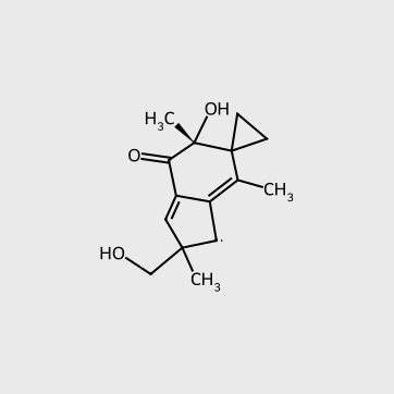 CC1=C2[CH]C(C)(CO)C=C2C(=O)[C@](C)(O)C12CC2